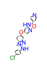 Cn1c(Nc2ccc(Cl)cc2)nc2cc(Oc3ccnc(NC(=O)c4ccncc4)c3)ccc21